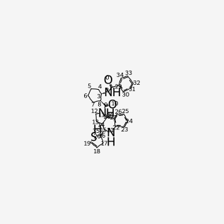 O=C(N[C@@H]1CCCC[C@@H]1C(=O)N1CC[C@@H]2[C@H](C3CC=CS3)Nc3ccccc3[C@@H]21)c1ccccc1